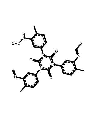 C=Nc1cc(-n2c(=O)n(-c3ccc(C)c(N=CC)c3)c(=O)n(-c3ccc(C)c(NC=O)c3)c2=O)ccc1C